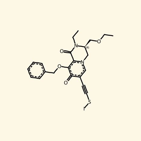 CCOC[C@H]1Cn2cc(C#CSI)c(=O)c(OCc3ccccc3)c2C(=O)N1CC